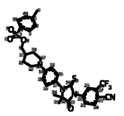 Cc1ccc(S(=O)(=O)OCC2CCN(c3ccc(N4C(=S)N(c5ccc(C#N)c(C(F)(F)F)c5)C(=O)C4(C)C)cc3)CC2)cc1